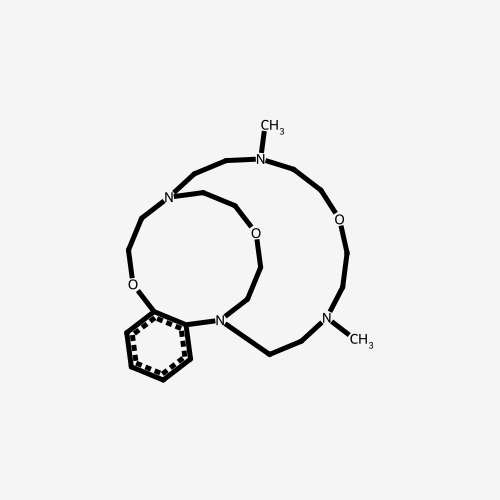 CN1CCOCCN(C)CCN2CCOCCN(CCOc3ccccc32)CC1